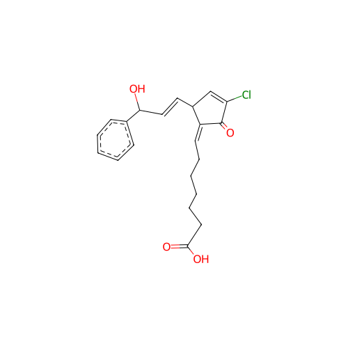 O=C(O)CCCCC/C=C1\C(=O)C(Cl)=CC1/C=C/C(O)c1ccccc1